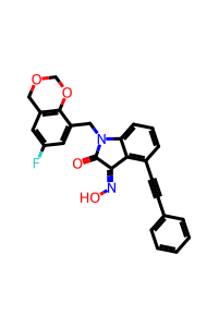 O=C1/C(=N\O)c2c(C#Cc3ccccc3)cccc2N1Cc1cc(F)cc2c1OCOC2